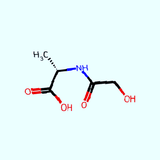 C[C@H](NC(=O)CO)C(=O)O